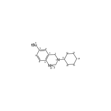 CN(Cc1cc(C(C)(C)C)ccc1N)C1CCCCC1